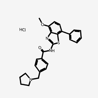 COc1ccc(-c2ccccc2)c2sc(NC(=O)c3ccc(CN4CCCC4)cc3)nc12.Cl